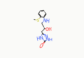 CSc1ccccc1NCC(O)Cc1n[nH]c(=O)[nH]1